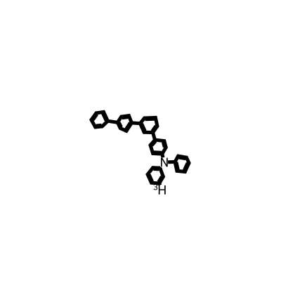 [3H]c1cccc(N(c2ccccc2)c2ccc(-c3cccc(-c4ccc(-c5ccccc5)cc4)c3)cc2)c1